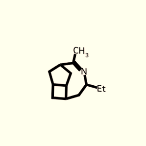 CCC1CC2CC3CC(CC23)/C(C)=N\1